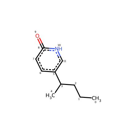 CCCC(C)c1ccc(=O)[nH]c1